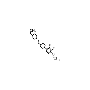 CCOc1ccc(C2CCC(CC[C@H]3CC[C@H](CC)CC3)CC2)c(F)c1F